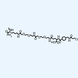 CCCC(=O)NCC1CCC(C(=O)NC(CCC(=O)NCCOCCOCC(=O)NCCOCCOCC(=O)NCCCC[C@H](NI)C(=O)P)C(=O)O)CC1